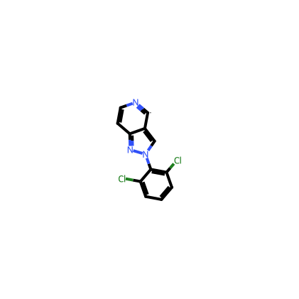 Clc1cccc(Cl)c1-n1cc2[c]nccc2n1